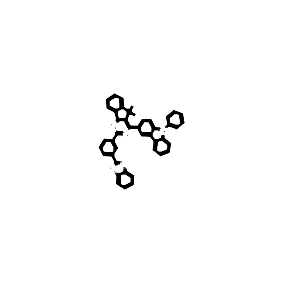 CC1(C)c2ccccc2-c2nc(-c3cccc(-c4nc5ccccc5s4)c3)nc(-c3ccc4c(c3)c3ccccc3n4-c3ccccc3)c21